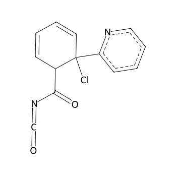 O=C=NC(=O)C1C=CC=CC1(Cl)c1ccccn1